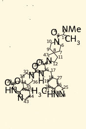 CNC(C)C(=O)N1CCC2(CC1)CCN(C(=O)C(Cc1cc(C)c3[nH]ncc3c1)NC(=O)N1CCC3(CC1)OC(=O)Nc1ncccc13)C2